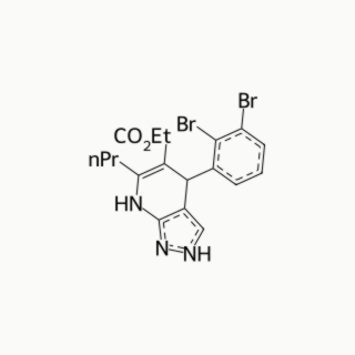 CCCC1=C(C(=O)OCC)C(c2cccc(Br)c2Br)c2c[nH]nc2N1